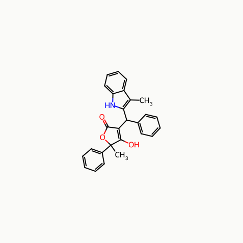 Cc1c(C(C2=C(O)C(C)(c3ccccc3)OC2=O)c2ccccc2)[nH]c2ccccc12